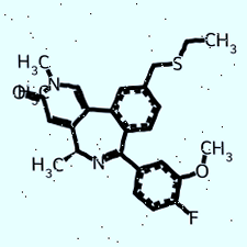 CCSCc1ccc2c(c1)C(=C/N(C)C)/C(=C\C=O)[C@H](C)N=C2c1ccc(F)c(OC)c1